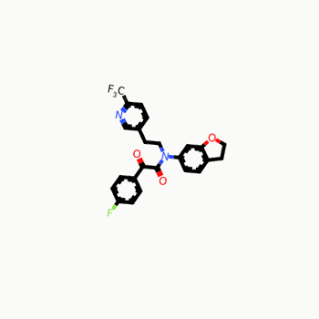 O=C(C(=O)N(CCc1ccc(C(F)(F)F)nc1)c1ccc2c(c1)OCC2)c1ccc(F)cc1